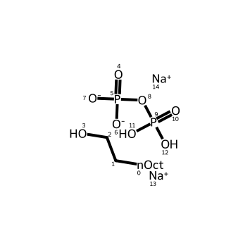 CCCCCCCCCCO.O=P([O-])([O-])OP(=O)(O)O.[Na+].[Na+]